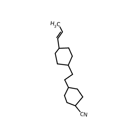 CC=CC1CCC(CCC2CCC(C#N)CC2)CC1